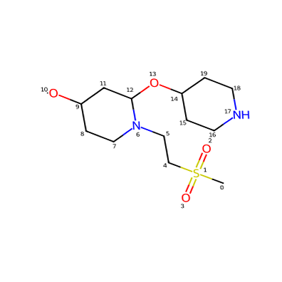 CS(=O)(=O)CCN1CCC([O])CC1OC1CCNCC1